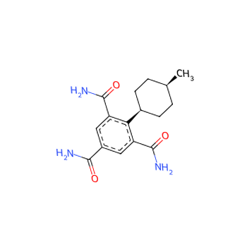 C[C@H]1CC[C@@H](c2c(C(N)=O)cc(C(N)=O)cc2C(N)=O)CC1